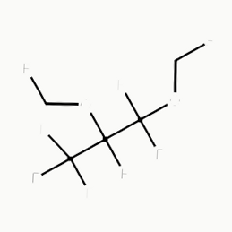 FCOC(F)(F)C(F)(OCF)C(F)(F)F